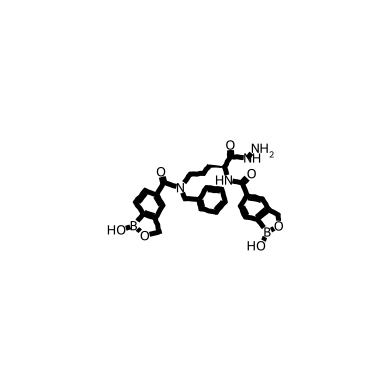 NNC(=O)[C@H](CCCN(Cc1ccccc1)C(=O)c1ccc2c(c1)COB2O)NC(=O)c1ccc2c(c1)COB2O